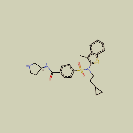 Cc1c(N(CCC2CC2)S(=O)(=O)c2ccc(C(=O)N[C@H]3CCNC3)cc2)sc2ccccc12